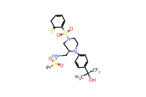 CC(C)S(=O)(=O)NC[C@H]1CN(S(=O)(=O)C2=CC=CCC2=S)CCN1c1ccc([C@@](C)(O)C(F)(F)F)cc1